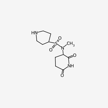 CN(C1CCC(=O)NC1=O)S(=O)(=O)C1CCNCC1